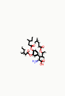 CCC(C)CC(=O)Oc1ccc(C(C(C)C(C)OC(=O)CCC(C)C)[C@H](N)C(=O)O)cc1OC(=O)CC(C)CC